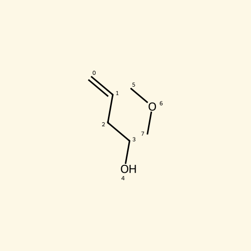 C=CCCO.COC